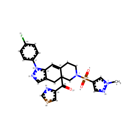 Cn1cc(S(=O)(=O)N2CCC3=Cc4c(cnn4-c4ccc(F)cc4)CC3(C(=O)c3cscn3)C2)cn1